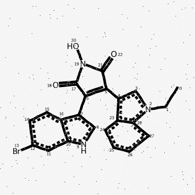 CCn1cc(C2=C(c3c[nH]c4cc(Br)ccc34)C(=O)N(O)C2=O)c2ccccc21